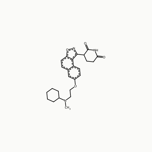 CN(CCOc1ccc2c(ccc3onc(C4CCC(=O)NC4=O)c32)c1)C1CCCCC1